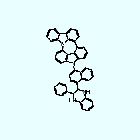 c1ccc(C2Nc3ccccc3NC2c2ccc(-n3c4cccc5c6cccc7c8ccccc8n(c8cccc3c8c54)c67)c3ccccc23)cc1